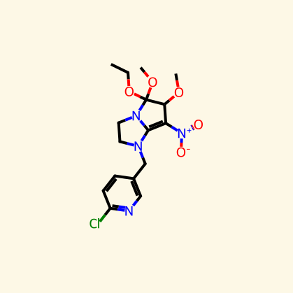 CCOC1(OC)C(OC)C([N+](=O)[O-])=C2N(Cc3ccc(Cl)nc3)CCN21